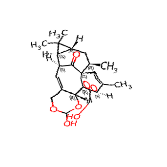 CC1=C[C@]23C(=O)[C@@H](C=C4COC(O)O[C@H]4[C@@]24OC(O)O[C@@H]14)[C@@H]1[C@@H](C[C@H]3C)C1(C)C